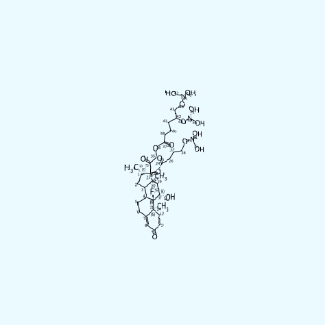 C[C@H]1CC2C3CCC4=CC(=O)C=C[C@]4(C)[C@@]3(F)[C@@H](O)C[C@]2(C)[C@@]1(OC(=O)CCCON(O)O)C(=O)COC(=O)CCCC(CON(O)O)ON(O)O